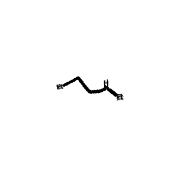 [CH2]CCCNCC